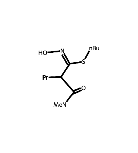 CCCCSC(=NO)C(C(=O)NC)C(C)C